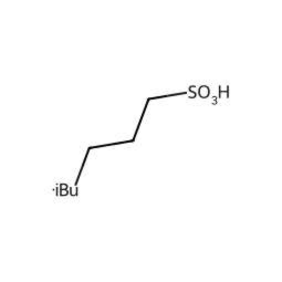 CC[C](C)CCCS(=O)(=O)O